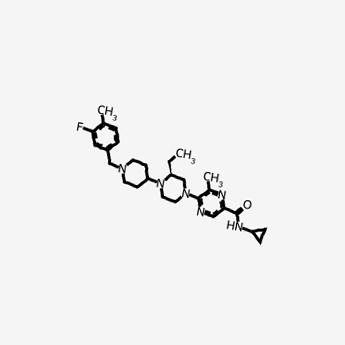 CC[C@H]1CN(c2ncc(C(=O)NC3CC3)nc2C)CCN1C1CCN(Cc2ccc(C)c(F)c2)CC1